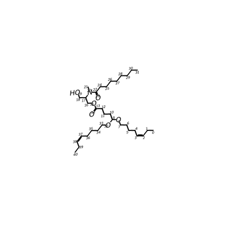 CC/C=C\CCCCOC(CCCC(=O)OCC(CO)N(C)C(=O)CCCCCCCC)OCCCC/C=C\CC